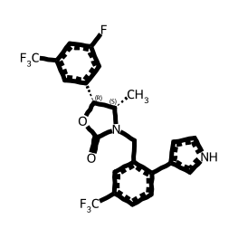 C[C@H]1[C@@H](c2cc(F)cc(C(F)(F)F)c2)OC(=O)N1Cc1cc(C(F)(F)F)ccc1-c1cc[nH]c1